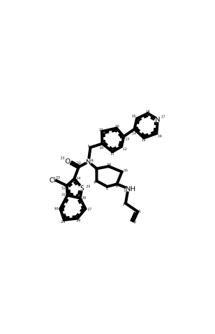 C=CCNC1CCC(N(Cc2ccc(-c3ccncc3)cc2)C(=O)c2sc3ccccc3c2Cl)CC1